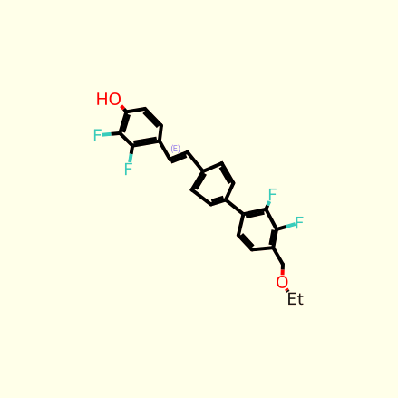 CCOCc1ccc(-c2ccc(/C=C/c3ccc(O)c(F)c3F)cc2)c(F)c1F